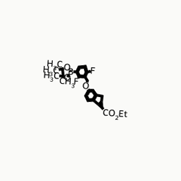 CCOC(=O)C1C2Cc3cc(OCc4c(F)ccc(B5OC(C)(C)C(C)(C)O5)c4F)ccc3C21